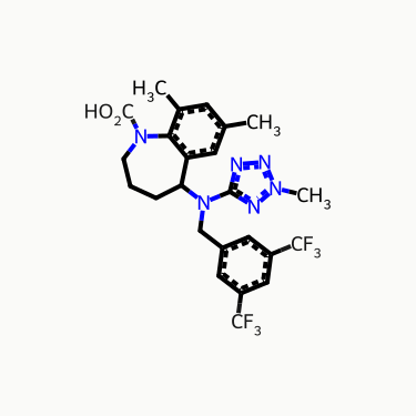 Cc1cc(C)c2c(c1)C(N(Cc1cc(C(F)(F)F)cc(C(F)(F)F)c1)c1nnn(C)n1)CCCN2C(=O)O